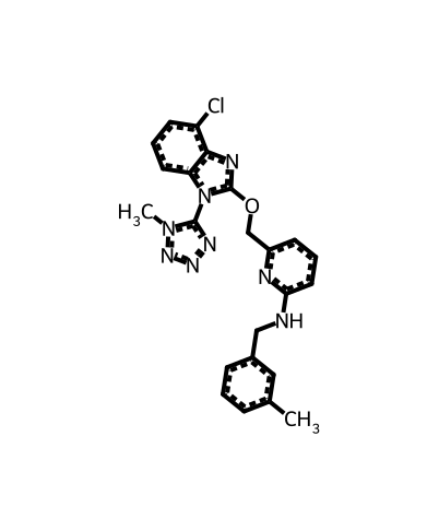 Cc1cccc(CNc2cccc(COc3nc4c(Cl)cccc4n3-c3nnnn3C)n2)c1